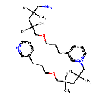 CCC(C)(CN)CC(C)(CC)COCCCc1ccc[n+](CC(C)(CC)CC(C)(CC)COCCCc2cccnc2)c1